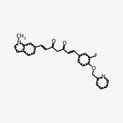 Cn1ccc2ccc(/C=C/C(=O)CC(=O)/C=C/c3ccc(OCc4ccccn4)c(F)c3)cc21